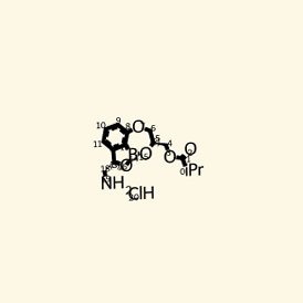 CC(C)C(=O)OC[C@@H]1COc2cccc3c2B(O1)O[C@@H]3CN.Cl